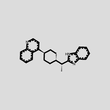 C[C@@H](c1nc2ccccc2[nH]1)[C@H]1CC[C@H](c2ccnc3ccccc32)CC1